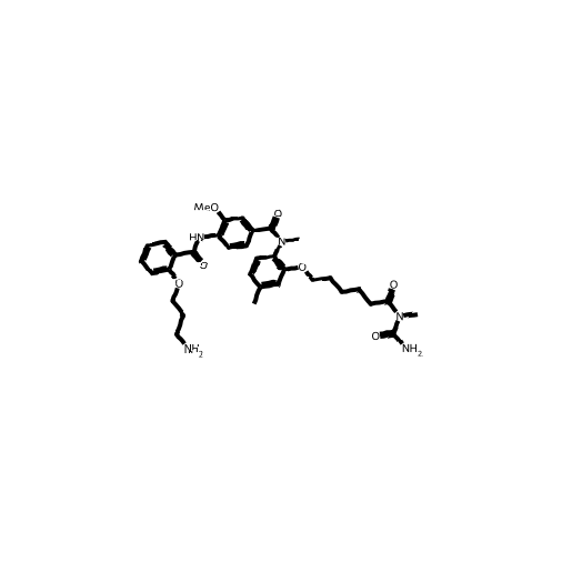 COc1cc(C(=O)N(C)c2ccc(C)cc2OCCCCCC(=O)N(C)C(N)=O)ccc1NC(=O)c1ccccc1OCCCN